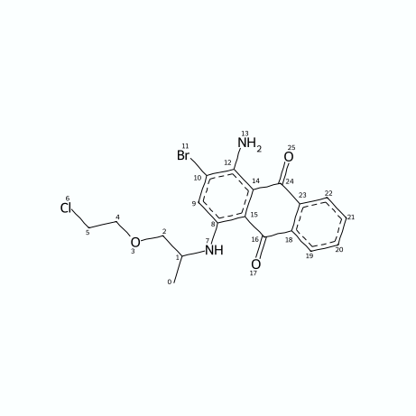 CC(COCCCl)Nc1cc(Br)c(N)c2c1C(=O)c1ccccc1C2=O